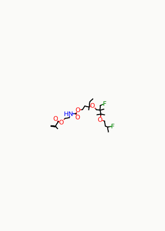 C=C(C)C(=O)OCCNC(=O)OCCC(C)(CC)OCC(C)(CF)C(C)(C)OCCC(C)F